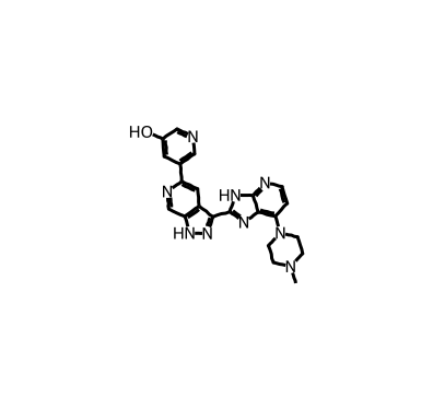 CN1CCN(c2ccnc3[nH]c(-c4n[nH]c5cnc(-c6cncc(O)c6)cc45)nc23)CC1